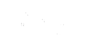 CCOC(=O)C1CCN(c2ccnc3ncccc23)CC1